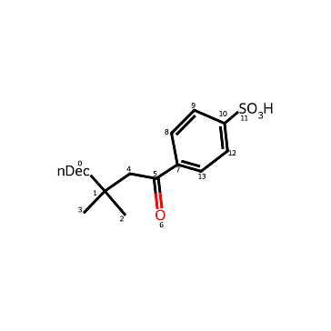 CCCCCCCCCCC(C)(C)CC(=O)c1ccc(S(=O)(=O)O)cc1